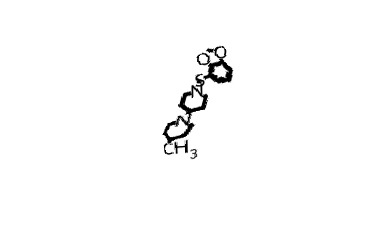 CC1CCN(C2CCN(Sc3cccc4c3OCO4)CC2)CC1